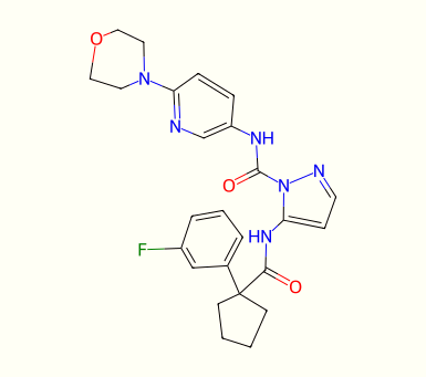 O=C(Nc1ccc(N2CCOCC2)nc1)n1nccc1NC(=O)C1(c2cccc(F)c2)CCCC1